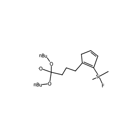 CCCCOC([O])(CCCC1=C([Si](C)(C)F)C=CC1)OCCCC